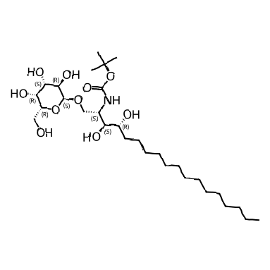 CCCCCCCCCCCCCC[C@@H](O)[C@@H](O)[C@H](CO[C@H]1O[C@H](CO)[C@H](O)[C@H](O)[C@H]1O)NC(=O)OC(C)(C)C